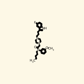 CCCCCN(C(=O)CN1CCN(CCCc2c[nH]c3ccc(F)cc23)CC1)c1cccc(OC)c1